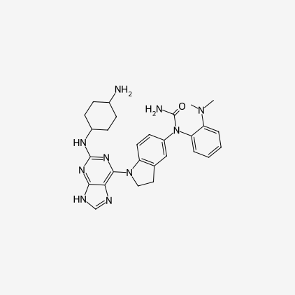 CN(C)c1ccccc1N(C(N)=O)c1ccc2c(c1)CCN2c1nc(NC2CCC(N)CC2)nc2[nH]cnc12